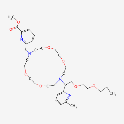 CCCOCCOCC(c1cccc(C)n1)N1CCOCCOCCN(Cc2cccc(C(=O)OC)n2)CCOCCOCC1